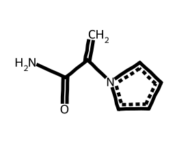 C=C(C(N)=O)n1cccc1